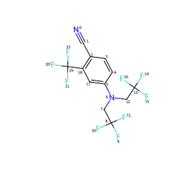 N#Cc1ccc(N(CC(F)(F)F)CC(F)(F)F)cc1C(F)(F)F